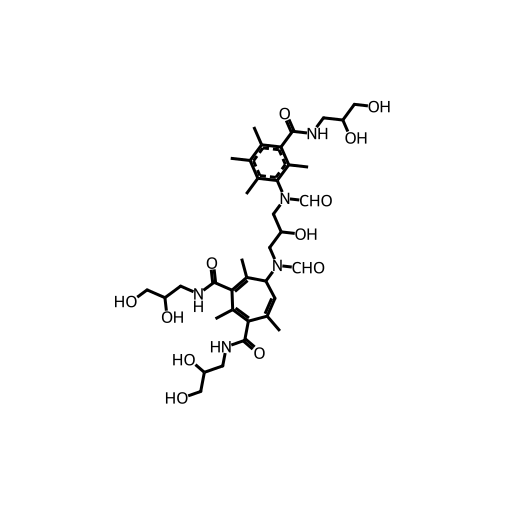 CC1=CC(N(C=O)CC(O)CN(C=O)c2c(C)c(C)c(C)c(C(=O)NCC(O)CO)c2C)C(C)=C(C(=O)NCC(O)CO)C(C)=C1C(=O)NCC(O)CO